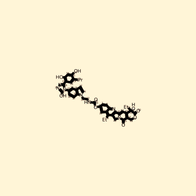 CCc1c2c(nc3ccc(OC(=O)NCCn4ccc5cc(-n6c(O)nnc6-c6cc(C(C)C)c(O)cc6O)ccc54)cc13)-c1cc3c(c(=O)n1C2)COC(=O)C3(O)CC